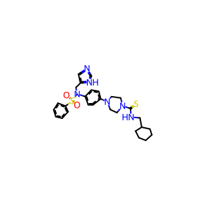 O=S(=O)(c1ccccc1)N(Cc1cnc[nH]1)c1ccc(N2CCN(C(=S)NCC3CCCCC3)CC2)cc1